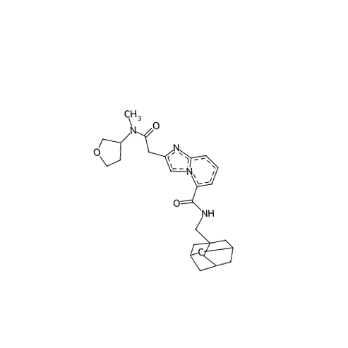 CN(C(=O)Cc1cn2c(C(=O)NCC34CC5CC(CC(C5)C3)C4)cccc2n1)C1CCOC1